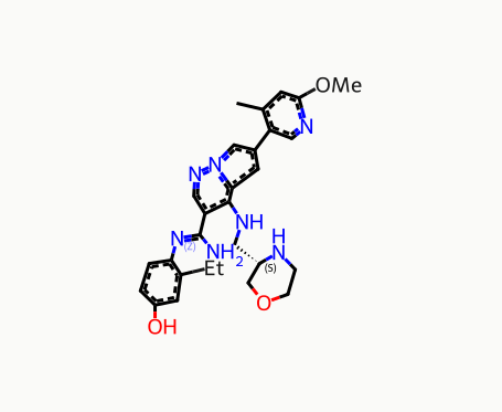 CCc1cc(O)ccc1/N=C(\N)c1cnn2cc(-c3cnc(OC)cc3C)cc2c1NC[C@H]1COCCN1